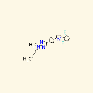 CCCCCCN(C)c1ncc(-c2ccc(C3CCC(c4c(F)cccc4F)=N3)cc2)cn1